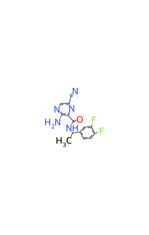 CC(NC(=O)c1nc(C#N)cnc1N)c1ccc(F)c(F)c1